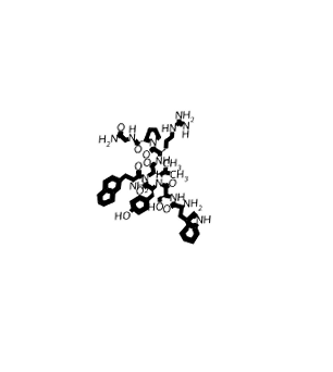 CC(C)C[C@@H](C(=O)N[C@@H](CCCNC(=N)N)C(=O)N1CCC[C@H]1C(=O)NCC(N)=O)N(C(=O)[C@H](N)Cc1ccc2ccccc2c1)C(=O)[C@H](Cc1ccc(O)cc1)NC(=O)[C@H](CO)NC(=O)[C@@H](N)Cc1c[nH]c2ccccc12